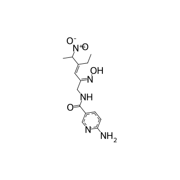 CCC(=CC(CNC(=O)c1ccc(N)nc1)=NO)C(C)[N+](=O)[O-]